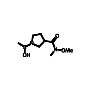 CON(C)C(=O)C1CCN(B(C)O)C1